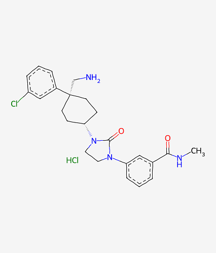 CNC(=O)c1cccc(N2CCN([C@H]3CC[C@](CN)(c4cccc(Cl)c4)CC3)C2=O)c1.Cl